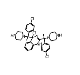 CC(C1=NC(Cl)(C(C)(c2ccc(Cl)cc2)N2CCNCC2)c2ccccc2N1)(c1ccc(Cl)cc1)N1CCNCC1